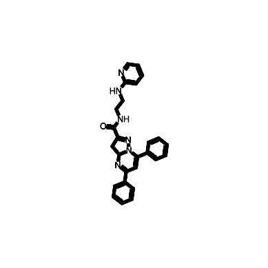 O=C(NCCNc1ccccn1)C1=NN2C(c3ccccc3)=CC(c3ccccc3)=NC2C1